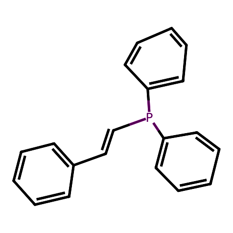 C(=CP(c1ccccc1)c1ccccc1)c1ccccc1